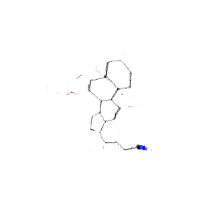 CC[C@H]1[C@@H](OCOC)C2C3CC[C@H]([C@H](C)CCC#N)[C@@]3(C)C[C@H](C)C2[C@@]2(C)CC[C@@H](C)C[C@@H]12